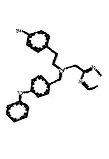 C/C=N\C(CN(CCc1ccc(Br)cc1)Cc1ccc(Oc2ccccc2)cc1)=N/C